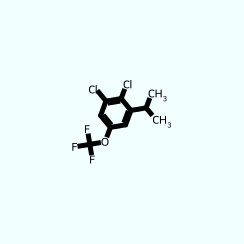 CC(C)c1cc(OC(F)(F)F)cc(Cl)c1Cl